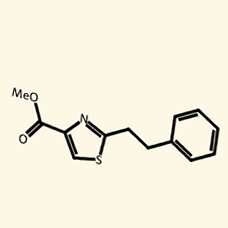 COC(=O)c1csc(CCc2ccccc2)n1